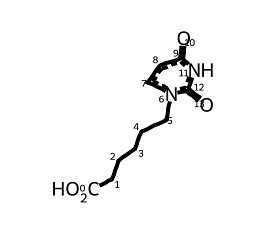 O=C(O)CCCCCn1ccc(=O)[nH]c1=O